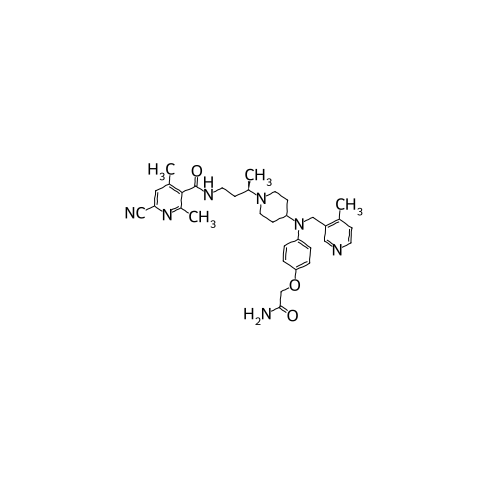 Cc1ccncc1CN(c1ccc(OCC(N)=O)cc1)C1CCN([C@H](C)CCNC(=O)c2c(C)cc(C#N)nc2C)CC1